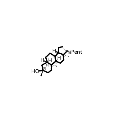 CCC[C@@H](C)[C@H]1CC[C@H]2[C@@H]3CC[C@H]4C[C@@](C)(O)CC[C@]4(C)[C@H]3CC[C@]12C